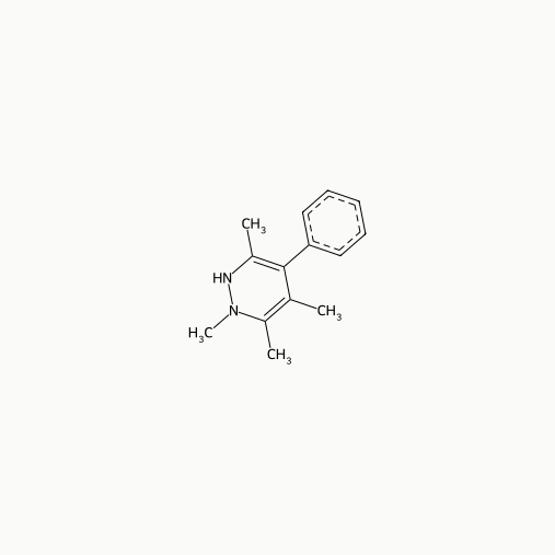 CC1=C(c2ccccc2)C(C)=C(C)N(C)N1